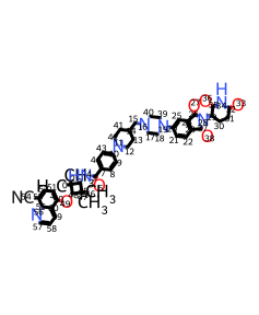 CC1(C)[C@H](NC(=O)c2ccc(N3CCC(CN4CCN(c5ccc6c(c5)C(=O)N(C5CCC(=O)NC5=O)C6=O)CC4)CC3)cc2)C(C)(C)[C@H]1Oc1ccc(C#N)c2ncccc12